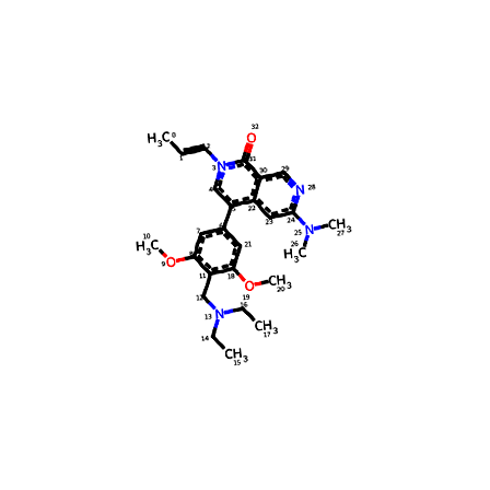 C/C=C/n1cc(-c2cc(OC)c(CN(CC)CC)c(OC)c2)c2cc(N(C)C)ncc2c1=O